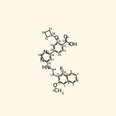 COc1cc2ccccc2c(F)c1CCNc1cc(-c2ccc(C(=O)O)c(OC3CCC3)c2)ncn1